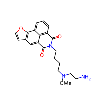 CON(CCN)CCCCN1C(=O)c2cccc3c2c(cc2ccoc23)C1=O